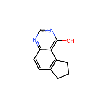 Oc1ncnc2ccc3c(c12)CCC3